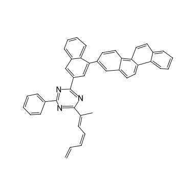 C=C/C=C\C=C(/C)c1nc(-c2ccccc2)nc(-c2cc(-c3ccc4c(ccc5c6ccccc6ccc45)c3)c3ccccc3c2)n1